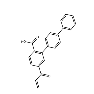 C=CC(=O)c1ccc(C(=O)O)c(-c2ccc(-c3ccccc3)cc2)c1